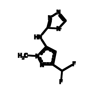 Cn1nc(C(F)F)cc1NC1=NN=C[N]1